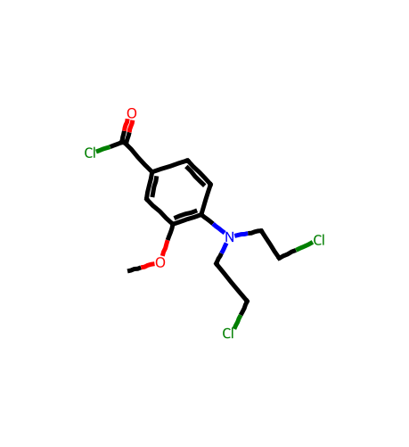 COc1cc(C(=O)Cl)ccc1N(CCCl)CCCl